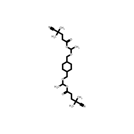 CC(OCC1CCC(COC(C)OC(=O)CCC(C)(C)C#N)CC1)OC(=O)CCC(C)(C)C#N